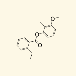 CCc1ccccc1C(=O)Oc1cccc(OC)c1C